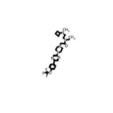 CCN(CCN(C)C1CCC1)C(=O)CN1CCN(c2cnc(-c3ccc(OC(F)(F)F)cc3)cn2)CC1